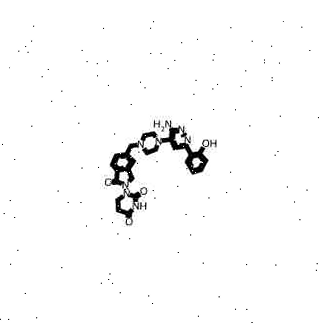 Nc1nnc(-c2ccccc2O)cc1N1CCN(Cc2ccc3c(c2)CN(N2CCC(=O)NC2=O)C3=O)CC1